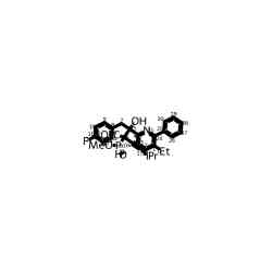 CCc1ccc(C(O)(Cc2ccc(F)cc2)C(C#CC(C)C)(C(=O)O)[PH](=O)OC)nc1-c1ccccc1